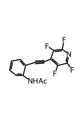 CC(=O)Nc1ccccc1C#Cc1c(F)c(F)nc(F)c1F